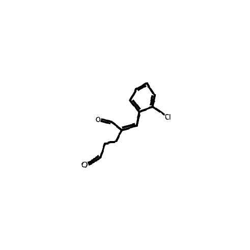 O=CCCC(C=O)=Cc1ccccc1Cl